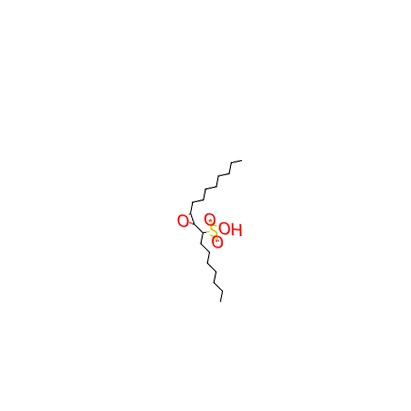 CCCCCCCCC1OC1C(CCCCCCC)S(=O)(=O)O